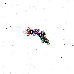 CCS(=O)(=O)c1ccc(N(CC(=O)Nc2cc(Cl)c(C3(c4nnc(-c5ccc(F)cc5F)s4)CC3)c(Cl)c2)CC(F)(F)F)cc1